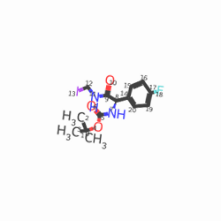 CC(C)(C)OC(=O)N[C@@H](C(=O)NCI)c1ccc(F)cc1